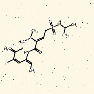 C=C(F)/C(F)=C\C(=C/C)NC(=O)/C(=C/CS(=O)(=O)NC(C)C)N(C)C